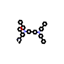 C#C/C=C(\C=C/C)c1ccc(N(c2ccc(-c3ccccc3)cc2)c2ccc(-c3ccc(N(c4ccc(-c5ccccc5)cc4)c4ccc(-c5ccccc5)cc4)cc3)cc2)c(-c2ccccc2)c1